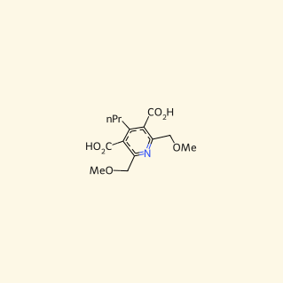 CCCc1c(C(=O)O)c(COC)nc(COC)c1C(=O)O